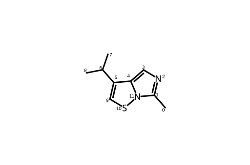 Cc1ncc2c(C(C)C)csn12